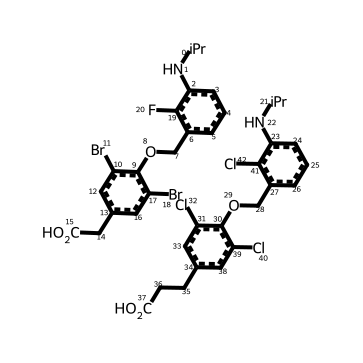 CC(C)Nc1cccc(COc2c(Br)cc(CC(=O)O)cc2Br)c1F.CC(C)Nc1cccc(COc2c(Cl)cc(CCC(=O)O)cc2Cl)c1Cl